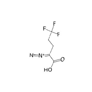 [N-]=[N+]=C(CCC(F)(F)F)C(=O)O